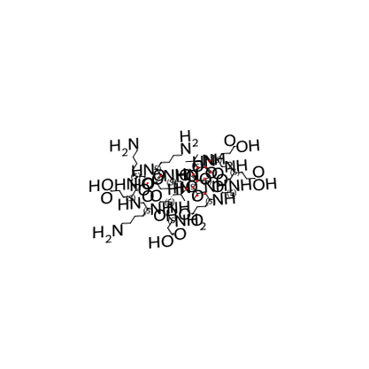 CC(C)C[C@H](NC(=O)[C@@H](N)CC(=O)O)C(=O)N[C@@H](CCCCN)C(=O)N[C@@H](CCC(=O)O)C(=O)N[C@@H](CCCCN)C(=O)N[C@@H](CCCCN)C(=O)N[C@@H](CCC(=O)O)C(=O)N[C@H](C(=O)N[C@H](C(=O)N[C@@H](CCC(=O)O)C(=O)N[C@@H](CCC(=O)O)C(=O)N[C@@H](C)C(=O)N[C@@H](CCC(=O)O)C(=O)N[C@@H](CC(N)=O)C(=O)O)C(C)C)C(C)C